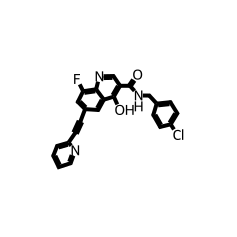 O=C(NCc1ccc(Cl)cc1)c1cnc2c(F)cc(C#Cc3ccccn3)cc2c1O